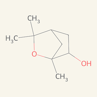 CC1(C)OC2(C)CC1CC2O